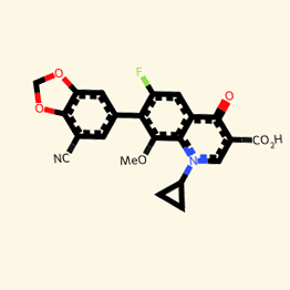 COc1c(-c2cc(C#N)c3c(c2)OCO3)c(F)cc2c(=O)c(C(=O)O)cn(C3CC3)c12